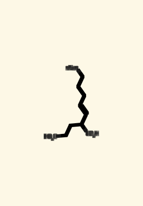 CCCCCCCCCCCCC=CC(CCC(=O)O)C(=O)O